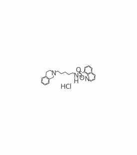 Cl.O=S(=O)(NCCCCCN1CCc2ccccc2C1)c1cccc2cccnc12